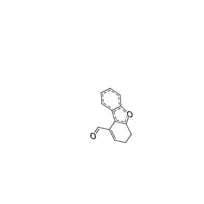 O=CC1=CCCc2oc3ccccc3c21